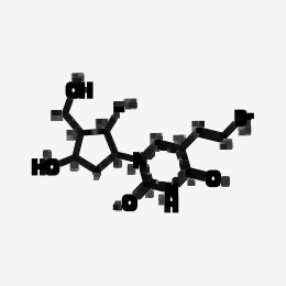 O=c1[nH]c(=O)n(C2CC(O)C(CO)C2F)cc1C=CBr